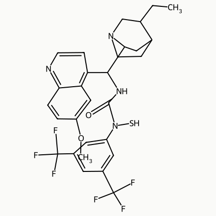 CCC1CN2CCC1CC2C(NC(=O)N(S)c1cc(C(F)(F)F)cc(C(F)(F)F)c1)c1ccnc2ccc(OC)cc12